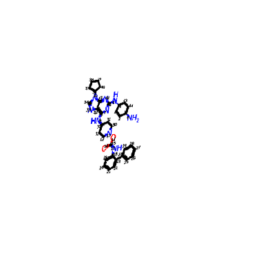 N[C@H]1CC[C@H](Nc2nc(NC3CCN(OC(=O)Nc4ccccc4-c4ccccc4)CC3)c3ncn(C4CCCC4)c3n2)CC1